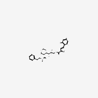 C[C@@H]([C@@H]1CCNC[C@H]1C(=O)N(C)CCc1ccccc1)[C@H](O)CNC(=O)c1cc(-c2ccc(F)cc2F)on1